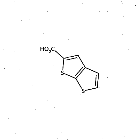 O=C(O)c1cc2c[c]sc2s1